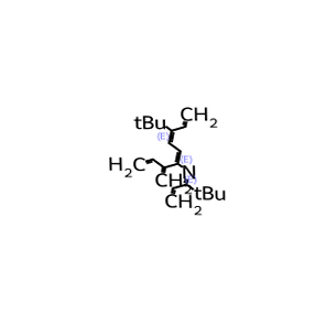 C=CC(=C)C(=C\C=C(/C=C)C(C)(C)C)/N=C(\C=C)C(C)(C)C